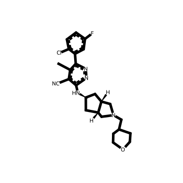 Cc1c(-c2cc(F)ccc2Cl)nnc(N[C@H]2C[C@@H]3CN(CC4CCOCC4)C[C@@H]3C2)c1C#N